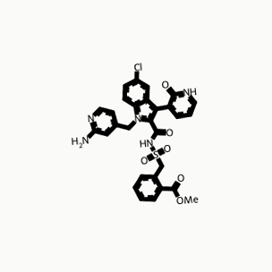 COC(=O)c1ccccc1CS(=O)(=O)NC(=O)c1c(-c2ccc[nH]c2=O)c2cc(Cl)ccc2n1Cc1ccnc(N)c1